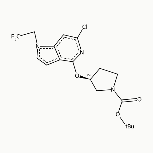 CC(C)(C)OC(=O)N1CC[C@H](Oc2nc(Cl)cc3c2ccn3CC(F)(F)F)C1